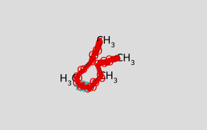 CC1CCC(C2CCC(C(=O)Oc3ccc(OC(=O)c4ccc(OCCCCCCCCOCC(=O)CCCCCOC(C)C(=O)CCC(=O)OCC(F)(F)OC(F)(F)C(F)(F)OC(F)(F)C(F)(F)OC(F)(F)COC(=O)CCC(=O)OCCCCCC(=O)C(C)OCCCCCCCCOc5ccc(C(=O)Oc6ccc(OC(=O)C7CCC(C8CCC(C)CC8)CC7)cc6)cc5)cc4)cc3)CC2)CC1